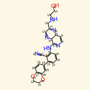 N#Cc1c(NC2=NC=CC3N=C(CNCCO)C=NC23)cccc1-c1ccc2c(c1)OCCO2